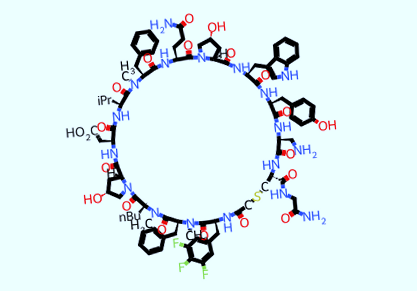 CCCC[C@H]1C(=O)N2C[C@H](O)C[C@@H]2C(=O)N[C@@H](CC(=O)O)C(=O)N[C@@H](C(C)C)C(=O)N(C)[C@@H](Cc2ccccc2)C(=O)N[C@@H](CCC(N)=O)C(=O)N2C[C@H](O)C[C@H]2C(=O)N[C@@H](Cc2c[nH]c3ccccc23)C(=O)N[C@@H](Cc2ccc(O)cc2)C(=O)N[C@@H](CN)C(=O)N[C@H](C(=O)NCC(N)=O)CSCC(=O)N[C@@H](Cc2cc(F)c(F)c(F)c2)C(=O)N(C)[C@@H](Cc2ccccc2)C(=O)N1C